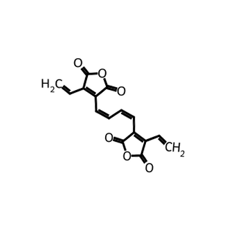 C=CC1=C(/C=C\C=C/C2=C(C=C)C(=O)OC2=O)C(=O)OC1=O